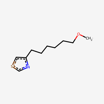 [CH2]OCCCCCCc1cscn1